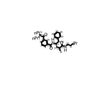 CCCN(CCC)C(=O)c1cccc(C(=O)N[C@H]([CH]C(C)C(=O)NCCC(C)C)Cc2ccccc2)c1